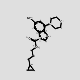 N#Cc1cc(N2CCOCC2)c2ncn(C(=O)NCCCC3CC3)c2c1